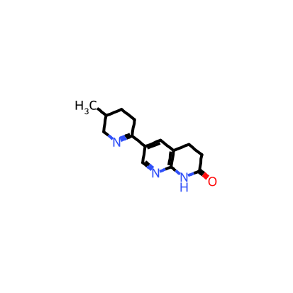 CC1CCC(c2cnc3c(c2)CCC(=O)N3)=NC1